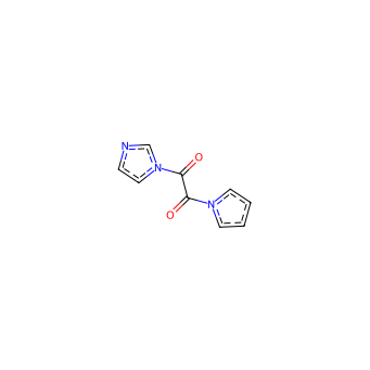 O=C(C(=O)n1ccnc1)n1cccc1